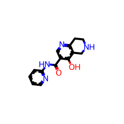 O=C(Nc1ccccn1)c1cnc2c(c1O)CNCC2